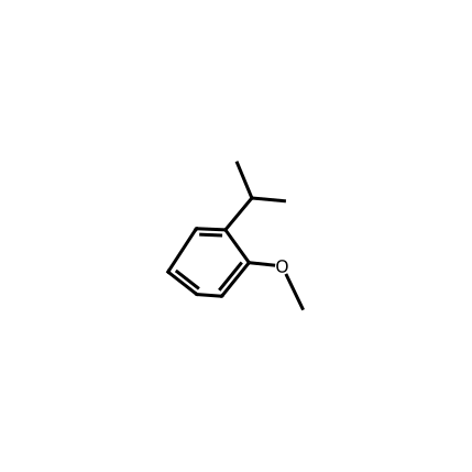 COc1ccccc1C(C)C